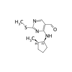 CSc1ncc(C=O)c(N[C@H]2CCC[C@H]2C)n1